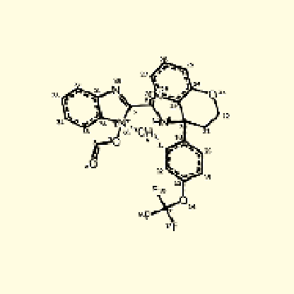 C[N@@+]1(OC=O)C(C(=O)NC2(c3ccc(OC(F)(F)F)cc3)CCOc3cccnc32)=Nc2ccccc21